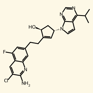 CC(C)c1ncnc2c1ccn2[C@@H]1C=C(CCc2cc(F)c3cc(Cl)c(N)nc3c2)[C@@H](O)C1